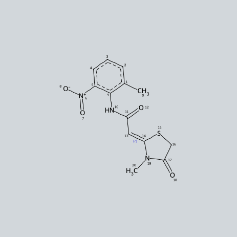 Cc1cccc([N+](=O)[O-])c1NC(=O)/C=C1\SCC(=O)N1C